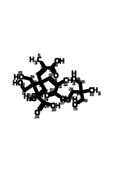 CC(=CC(C=C(C)C(=O)O)(C=C(C)C(=O)O)C(CO)(CO)CO)C(=O)O.CC(CO)(CO)CO